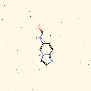 O=CNc1ccc2nccn2c1